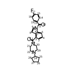 O=C(c1cccc2c1ccn2C(=O)c1ccc(F)cc1)N1CCN(C2CCCC2)CC1